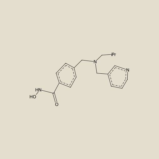 CC(C)CN(Cc1ccc(C(=O)NO)cc1)Cc1cccnc1